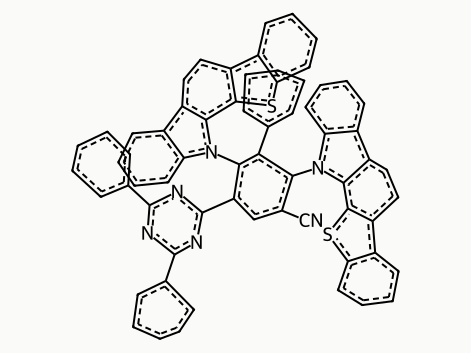 N#Cc1cc(-c2nc(-c3ccccc3)nc(-c3ccccc3)n2)c(-n2c3ccccc3c3ccc4c5ccccc5sc4c32)c(-c2ccccc2)c1-n1c2ccccc2c2ccc3c4ccccc4sc3c21